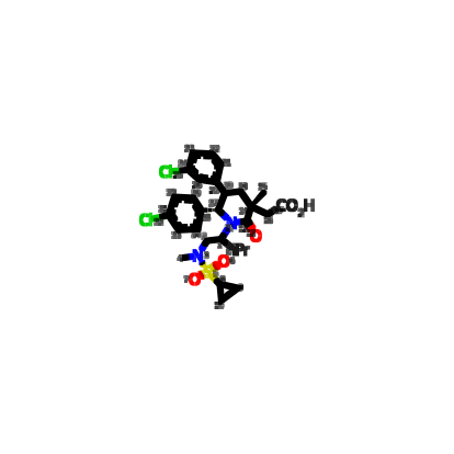 CC(C)C(CN(C)S(=O)(=O)C1CC1)N1C(=O)[C@@](C)(CC(=O)O)CC(c2cccc(Cl)c2)[C@H]1c1ccc(Cl)cc1